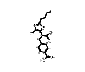 CCCCc1nc(Cl)c(C(Cc2ccc(C(=O)O)cc2)C(=O)O)[nH]1